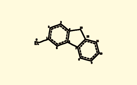 CCc1ccc2c(c1)-c1ccccc1C2